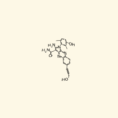 Cc1ccc(O)c(C)c1-n1c(N)c(C(N)=O)c2nc3cc(C#CCO)ccc3nc21